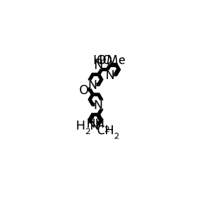 C=C(N)/C=C(\C=C/N)CN1CCC(C(=O)N2CCC(/C(=N/OC)c3ncccc3O)CC2)CC1